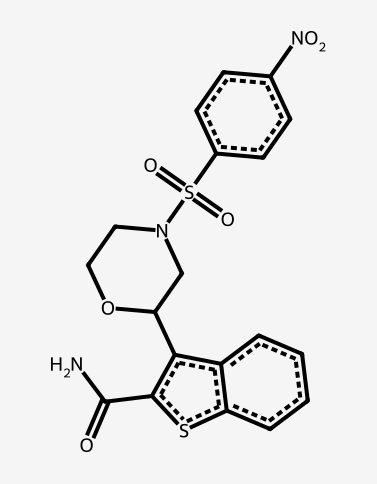 NC(=O)c1sc2ccccc2c1C1CN(S(=O)(=O)c2ccc([N+](=O)[O-])cc2)CCO1